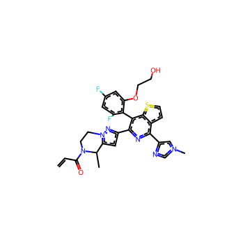 C=CC(=O)N1CCn2nc(-c3nc(-c4cn(C)cn4)c4ccsc4c3-c3c(F)cc(F)cc3OCCO)cc2C1C